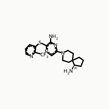 Nc1nc(N2CCC3(CCC[C@H]3N)CC2)cnc1Sc1cccnc1C(F)(F)F